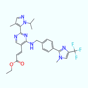 CCOC(=O)/C=C/c1cnc(-c2c(C)cnn2C(C)C)nc1NCc1ccc(-c2nc(C(F)(F)F)cn2C)cc1